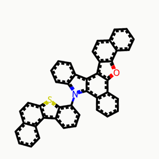 c1ccc2c(c1)ccc1c2oc2c3ccccc3c3c(c4ccccc4n3-c3cccc4c3sc3ccc5ccccc5c34)c12